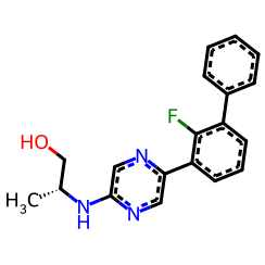 C[C@H](CO)Nc1cnc(-c2cccc(-c3ccccc3)c2F)cn1